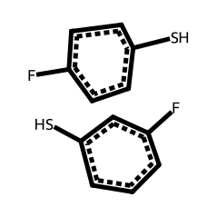 Fc1ccc(S)cc1.Fc1cccc(S)c1